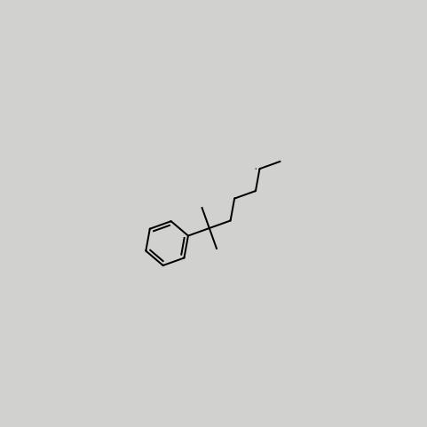 C[CH]CCCC(C)(C)c1ccccc1